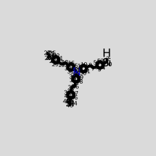 C[SiH](C)c1ccc(/C=C/c2ccc(N(c3ccc(/C=C/c4ccc([Si](C)(C)C)cc4)cc3)c3ccc(/C=C/c4ccc([Si](C)(C)C)cc4)cc3)cc2)cc1